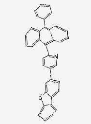 c1ccc(-c2c3ccccc3c(-c3ccc(-c4ccc5c(c4)sc4ccccc45)cn3)c3ccccc23)cc1